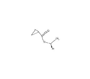 CC(C)[C@H](C)OC(=O)C1CC1